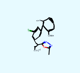 COc1cccc(OC)c1-c1cc(F)cc(C(CC(=O)O)c2nnc(C)o2)c1